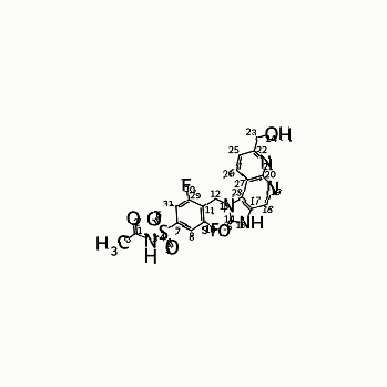 CC(=O)NS(=O)(=O)c1cc(F)c(Cn2c(=O)[nH]c3cnc4nc(CO)ccc4c32)c(F)c1